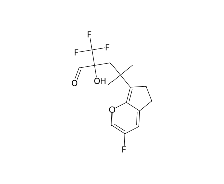 CC(C)(CC(O)(C=O)C(F)(F)F)C1=C2OC=C(F)C=C2CC1